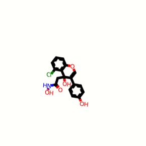 O=C(CC1(O)C(c2ccc(O)cc2)=COc2cccc(Cl)c21)NO